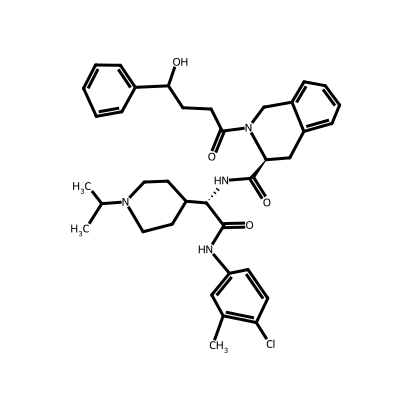 Cc1cc(NC(=O)[C@@H](NC(=O)[C@@H]2Cc3ccccc3CN2C(=O)CCC(O)c2ccccc2)C2CCN(C(C)C)CC2)ccc1Cl